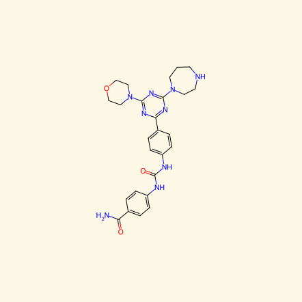 NC(=O)c1ccc(NC(=O)Nc2ccc(-c3nc(N4CCCNCC4)nc(N4CCOCC4)n3)cc2)cc1